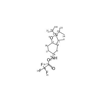 CC(C)[Si](OC1CCC(NOC(=O)C(F)(F)F)CC1)(C(C)C)C(C)C